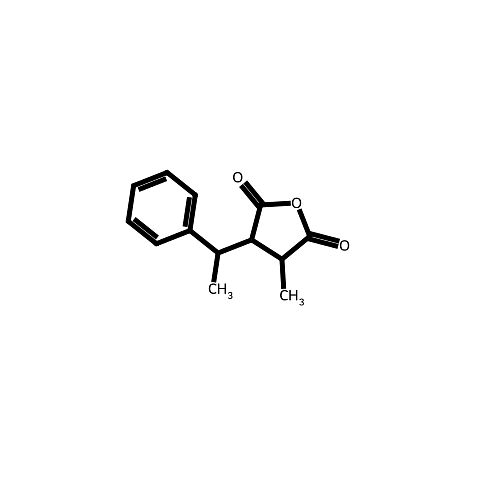 CC1C(=O)OC(=O)C1C(C)c1ccccc1